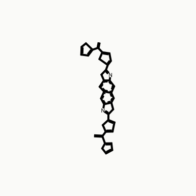 C=C(C1=CC=CC1)C1=CC=C(C2=Nc3cc4cc5c(cc4cc3C2)N=C(C2=CC=C(C(=C)C3=CC=CC3)C2)C5)C1